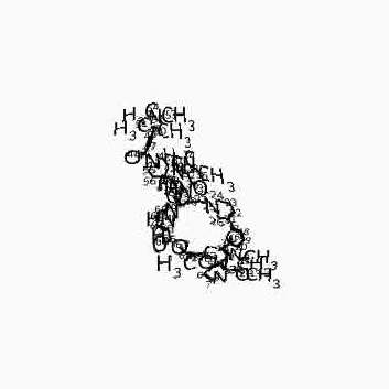 CCn1c(-c2cccnc2[C@H](C)OC)c2c3cc(ccc31)C1=CCCN(C1)CC(NC(=O)[C@H](C(C)C)N(C)C(=O)C1(F)CCN(C(=O)C#CC(C)(C)N(C)C)CC1)C(=O)N1CCC[C@H](N1)C(=O)OCC(C)(C)C2